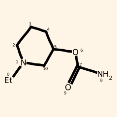 CCN1CCCC(OC(N)=O)C1